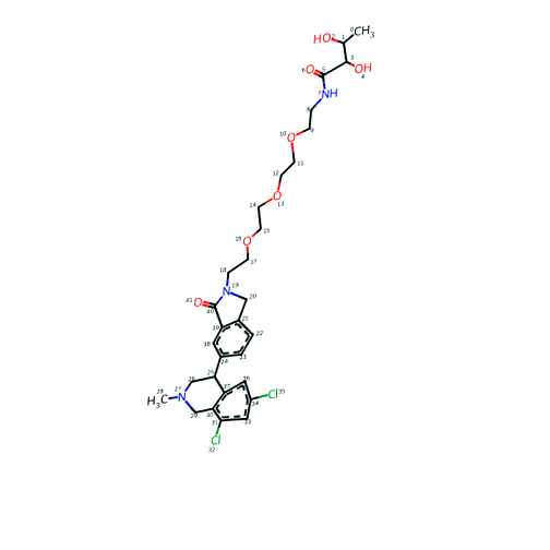 CC(O)C(O)C(=O)NCCOCCOCCOCCN1Cc2ccc(C3CN(C)Cc4c(Cl)cc(Cl)cc43)cc2C1=O